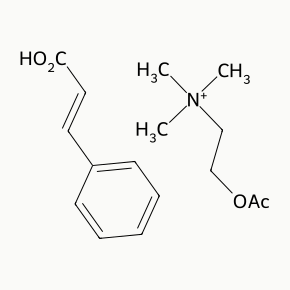 CC(=O)OCC[N+](C)(C)C.O=C(O)C=Cc1ccccc1